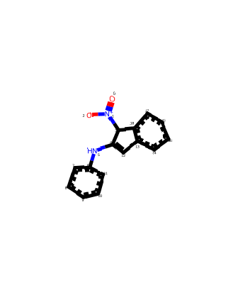 O=[N+]([O-])C1C(Nc2ccccc2)=Cc2ccccc21